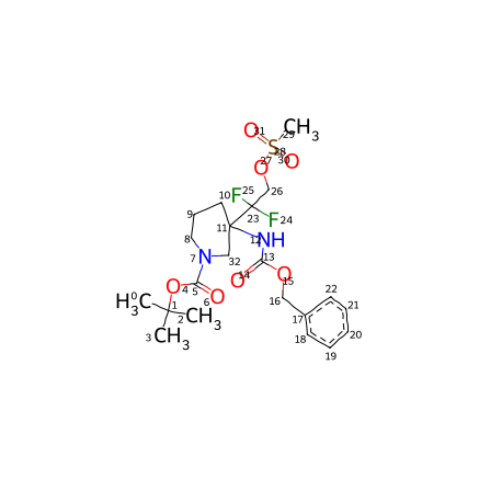 CC(C)(C)OC(=O)N1CCCC(NC(=O)OCc2ccccc2)(C(F)(F)COS(C)(=O)=O)C1